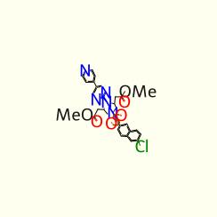 COC(=O)CC1CN(S(=O)(=O)c2ccc3cc(Cl)ccc3c2)CC(CC(=O)OC)N1c1ncc(-c2ccncc2)cn1